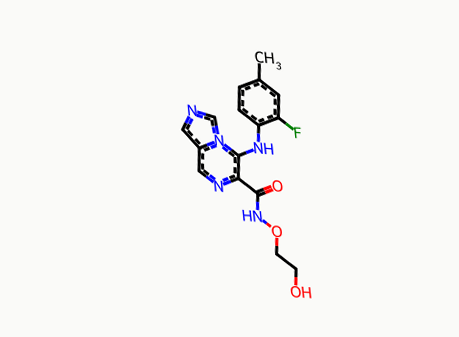 Cc1ccc(Nc2c(C(=O)NOCCO)ncc3cncn23)c(F)c1